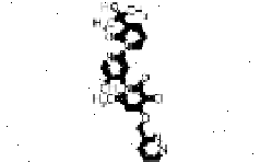 Cc1cnc(-n2cccc(C(C)(C)O)c2=O)cc1-n1c(C)cc(OCc2cccnn2)c(Cl)c1=O